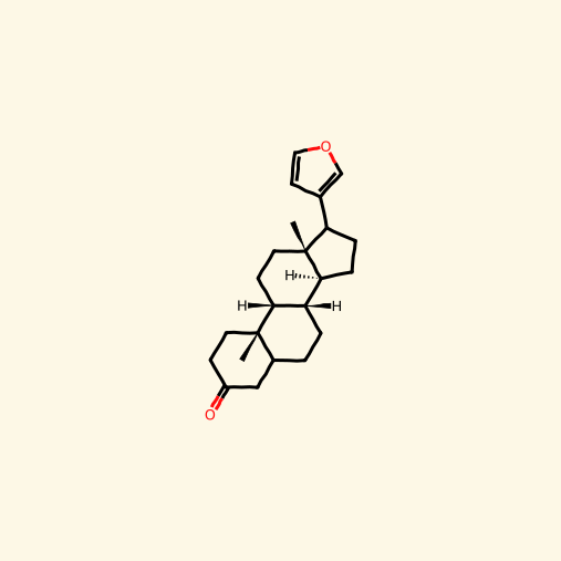 C[C@]12CCC(=O)CC1CC[C@@H]1[C@H]2CC[C@]2(C)C(c3ccoc3)CC[C@@H]12